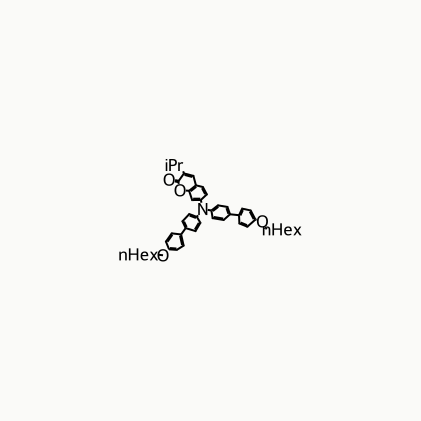 CCCCCCOc1ccc(-c2ccc(N(c3ccc(-c4ccc(OCCCCCC)cc4)cc3)c3ccc4cc(C(C)C)c(=O)oc4c3)cc2)cc1